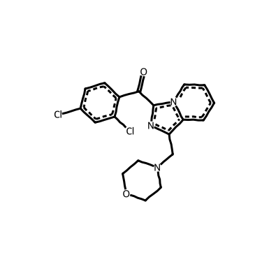 O=C(c1ccc(Cl)cc1Cl)c1nc(CN2CCOCC2)c2ccccn12